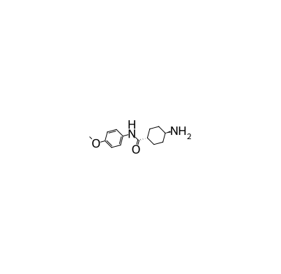 COc1ccc(NC(=O)[C@H]2CC[C@H](N)CC2)cc1